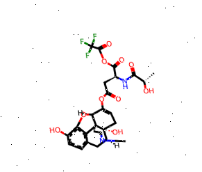 C[C@H](O)C(=O)N[C@@H](CC(=O)OC1=CC[C@@]2(O)[C@H]3Cc4ccc(O)c5c4[C@@]2(CCN3C)[C@H]1O5)C(=O)OC(=O)C(F)(F)F